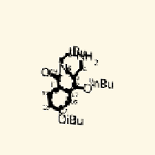 CCCCOc1c(CN)n(CC(C)(C)C)c(=O)c2ccc(OCC(C)C)cc12